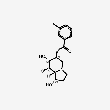 Cc1cccc(C(=O)O[C@H]2CN3CC[C@H](O)[C@@H]3[C@@H](O)[C@@H]2O)c1